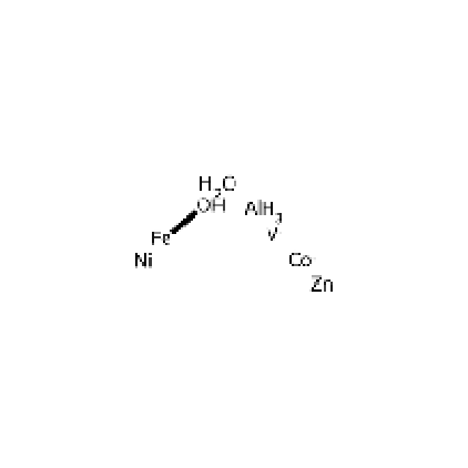 O.[AlH3].[Co].[Ni].[OH][Fe].[V].[Zn]